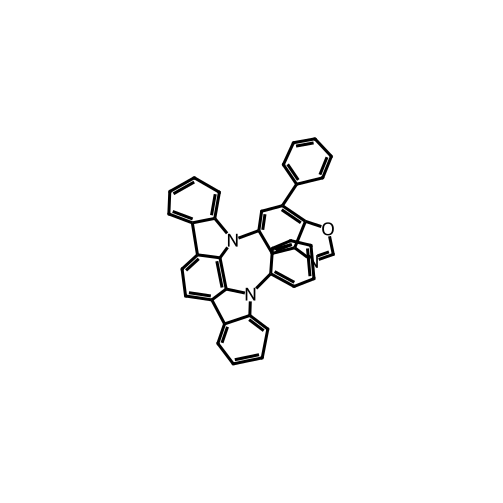 c1ccc(-c2cc(-n3c4ccccc4c4ccc5c6ccccc6n(-c6ccccc6)c5c43)cc3ncoc23)cc1